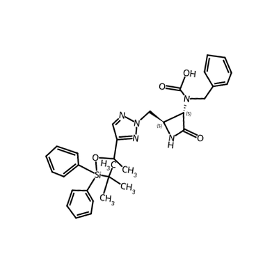 CC(O[Si](c1ccccc1)(c1ccccc1)C(C)(C)C)c1cnn(C[C@@H]2NC(=O)[C@H]2N(Cc2ccccc2)C(=O)O)n1